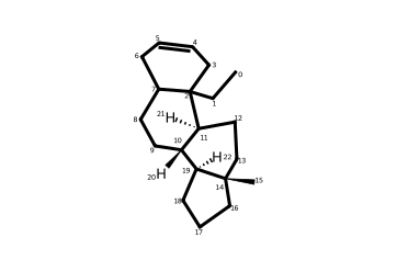 CCC12CC=CCC1CC[C@@H]1[C@@H]2CC[C@]2(C)CCC[C@@H]12